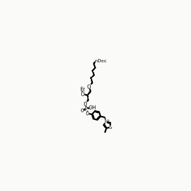 CCCCCCCCCCCCCCCCOCC(COP(=O)(O)Oc1ccc(C[n+]2csc(C)c2)cc1)OCC